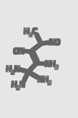 CC(N=O)C(N=O)=C(N)C(N)(N)N